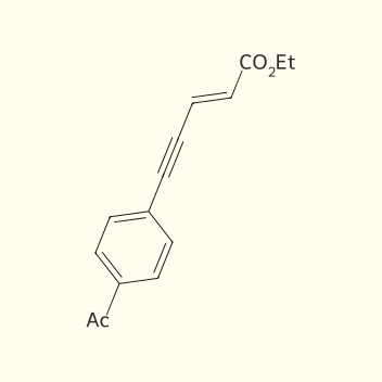 CCOC(=O)C=CC#Cc1ccc(C(C)=O)cc1